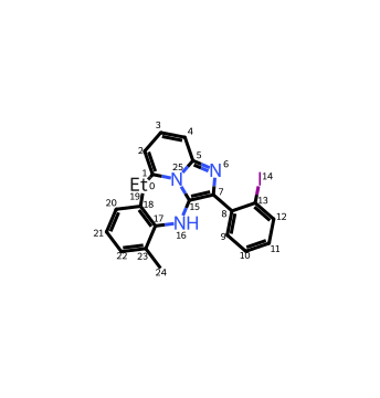 CCc1cccc2nc(-c3ccccc3I)c(Nc3c(C)cccc3C)n12